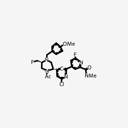 CNC(=O)c1cc(-c2cc([C@H]3CN(Cc4ccc(OC)cc4)[C@H](CF)CN3C(C)=O)cc(Cl)n2)cc(F)n1